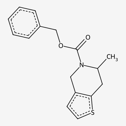 CC1Cc2sccc2CN1C(=O)OCc1ccccc1